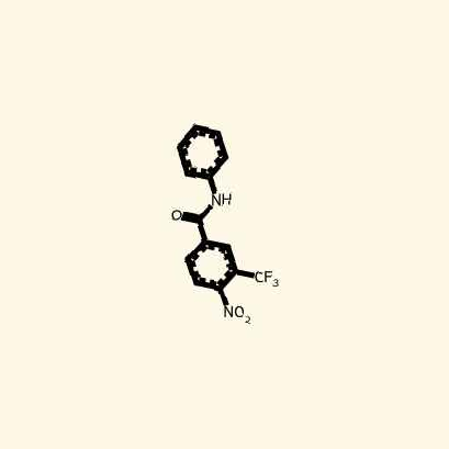 O=C(Nc1ccccc1)c1ccc([N+](=O)[O-])c(C(F)(F)F)c1